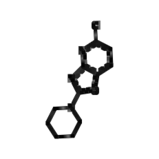 Clc1ccc2oc(N3CCCCC3)nc2n1